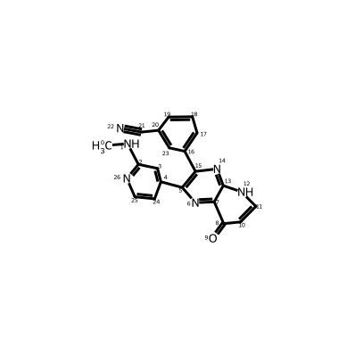 CNc1cc(-c2nc3c(=O)cc[nH]c3nc2-c2cccc(C#N)c2)ccn1